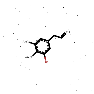 C=CCc1cc(Br)c(OC(C)=O)c(OC(C)=O)c1